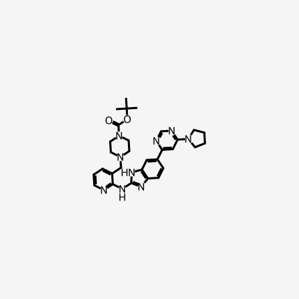 CC(C)(C)OC(=O)N1CCN(Cc2cccnc2Nc2nc3ccc(-c4cc(N5CCCC5)ncn4)cc3[nH]2)CC1